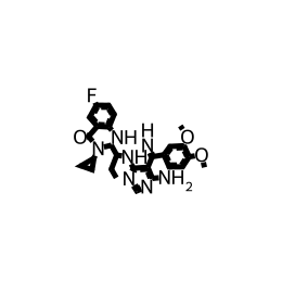 CCC(Nc1ncnc(N)c1C(=N)c1ccc(OC)c(OC)c1)C1Nc2ccc(F)cc2C(=O)N1C1CC1